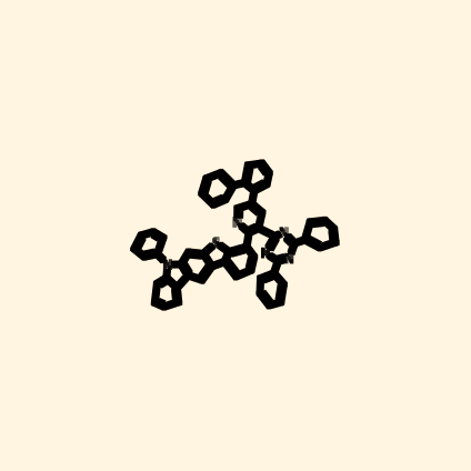 c1ccc(-c2nc(-c3ccccc3)nc(-c3cc(-c4ccccc4-c4ccccc4)cnc3-c3cccc4c3sc3cc5c(cc34)c3ccccc3n5-c3ccccc3)n2)cc1